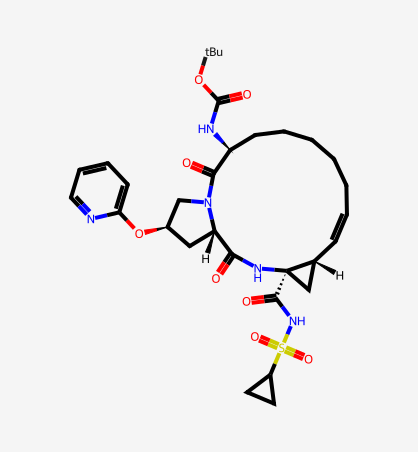 CC(C)(C)OC(=O)N[C@H]1CCCCC/C=C\[C@@H]2C[C@@]2(C(=O)NS(=O)(=O)C2CC2)NC(=O)[C@@H]2C[C@@H](Oc3ccccn3)CN2C1=O